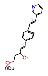 CCCCOCCC(O)/C=C/c1ccc(/C=C/c2cccnc2)cc1